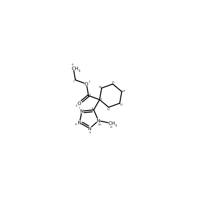 CCOC(=O)C1(c2nnnn2C)CCCCC1